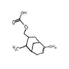 CC1=CCC2CC1CC(COC(=O)O)C2C